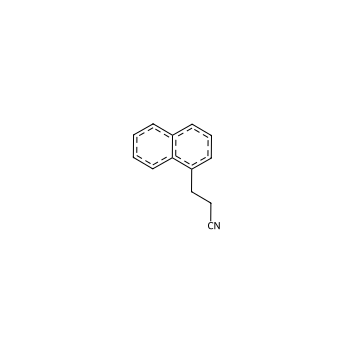 N#CCCc1cccc2ccccc12